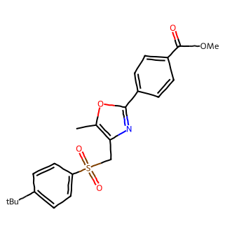 COC(=O)c1ccc(-c2nc(CS(=O)(=O)c3ccc(C(C)(C)C)cc3)c(C)o2)cc1